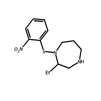 CCC1CNCCCN1Sc1ccccc1[N+](=O)[O-]